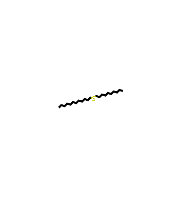 CCCCCCCCCCCCSCCCCCCCCCC